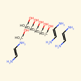 NC=CN.NC=CN.NC=CN.O=C(O)O.O=C(O)O.O=C(O)O.O=C(O)O.O=C(O)O.O=C(O)O